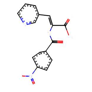 O=C(O)C(=Cc1cccnc1)NC(=O)c1ccc([N+](=O)[O-])cc1